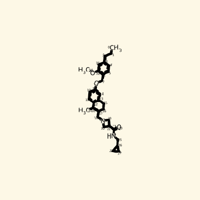 CCCc1ccc(COc2ccc3c(c2)CCC(CN2CC(C(=O)NCC4CC4)C2)=C3C)c(OC)c1